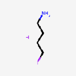 I.NCCCCI